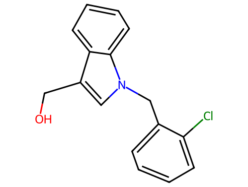 OCc1cn(Cc2ccccc2Cl)c2ccccc12